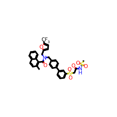 Cc1ccc2ccccc2c1C(=O)N(Cc1ccc(-c2cccc(S(=O)(=O)CC(=O)NS(C)(=O)=O)c2)cc1)Cc1ccc(C(F)(F)F)o1